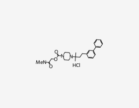 CNC(=O)COC(=O)N1CCN(C(C)(C)CCc2cccc(-c3ccccc3)c2)CC1.Cl